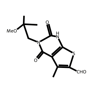 COC(C)(C)Cn1c(=O)[nH]c2sc(C=O)c(C)c2c1=O